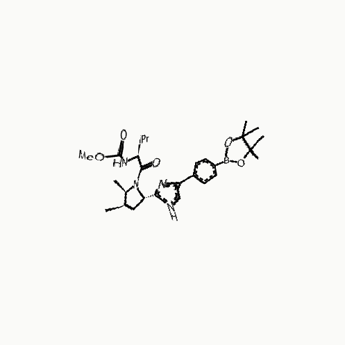 COC(=O)N[C@H](C(=O)N1[C@H](C)[C@H](C)C[C@H]1c1nc(-c2ccc(B3OC(C)(C)C(C)(C)O3)cc2)c[nH]1)C(C)C